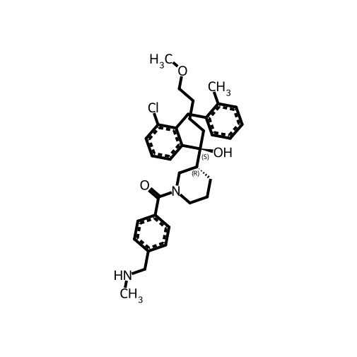 CNCc1ccc(C(=O)N2CCC[C@@H]([C@@](O)(CCCCOC)c3cccc(Cl)c3Cc3ccccc3C)C2)cc1